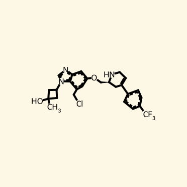 CC1(O)CC(n2cnc3cc(OC[C@@H]4CC(c5ccc(C(F)(F)F)cc5)=CCN4)cc(CCl)c32)C1